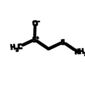 C[S+]([O-])CSN